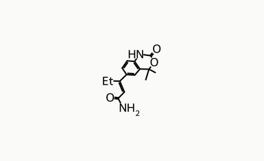 CCC(=CC(N)=O)c1ccc2c(c1)C(C)(C)OC(=O)N2